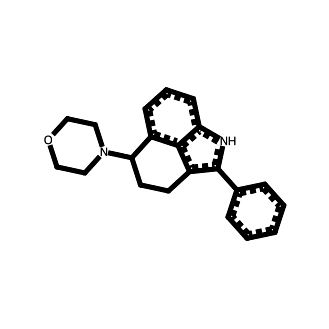 c1ccc(-c2[nH]c3cccc4c3c2CCC4N2CCOCC2)cc1